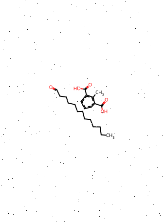 CCCCCCCCCCCCC=O.Cc1c(C(=O)O)cccc1C(=O)O